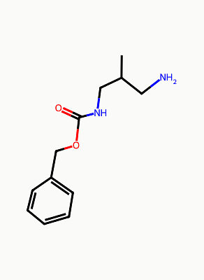 CC(CN)CNC(=O)OCc1ccccc1